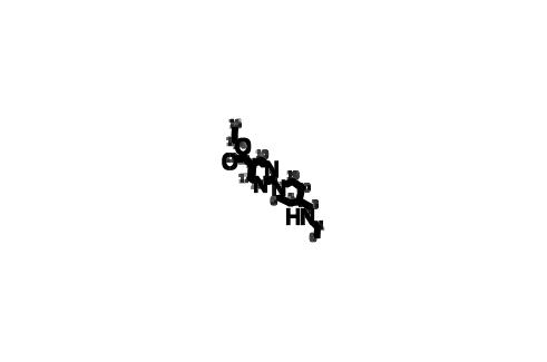 CCNCC1CCN(c2ncc(C(=O)OCC)cn2)CC1